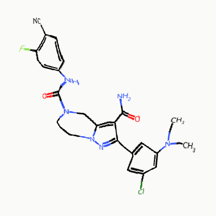 CN(C)c1cc(Cl)cc(-c2nn3c(c2C(N)=O)CN(C(=O)Nc2ccc(C#N)c(F)c2)CC3)c1